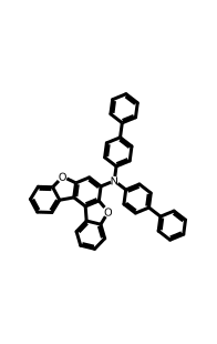 c1ccc(-c2ccc(N(c3ccc(-c4ccccc4)cc3)c3cc4oc5ccccc5c4c4c3oc3ccccc34)cc2)cc1